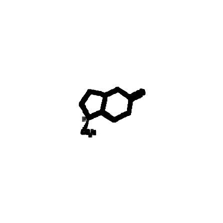 O=C1CCC2C(CC[C@H]2C(=O)O)C1